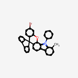 Cc1cccc2c3ccc4c(c3n(-c3ccccc3)c12)Oc1cc(Br)ccc1C41c2ccccc2-c2ccccc21